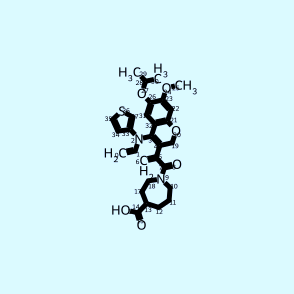 C=CN(C1=C(C(=C)C(=O)N2CCCC(C(=O)O)CC2)COc2cc(OC)c(OC(C)C)cc21)c1ccsc1